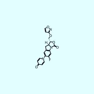 O=C1O[C@@H](COc2ccon2)[C@@H]2Cc3cc(-n4ccc(=O)cc4)c(F)cc3N12